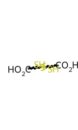 O=C(O)CCCCC(S)CCSSCCC(S)CCCCC(=O)O